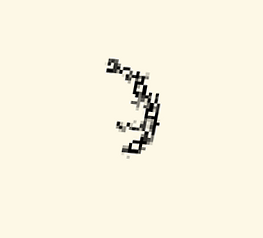 Cc1nn(COCC[Si](C)(C)C)c2ccc(C(=O)Nc3cc4c(cn3)cc(CN3CC5(CCC(F)(F)CC5)C3)n4COCC[Si](C)(C)C)cc12